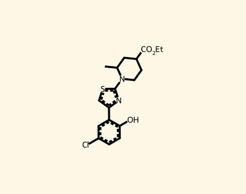 CCOC(=O)C1CCN(c2nc(-c3cc(Cl)ccc3O)cs2)C(C)C1